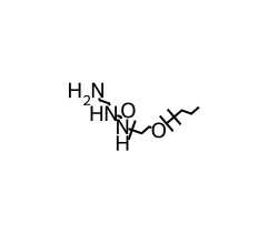 CCCC(C)(C)C(C)(C)OCCC(C)(C)NC(=O)NCCN